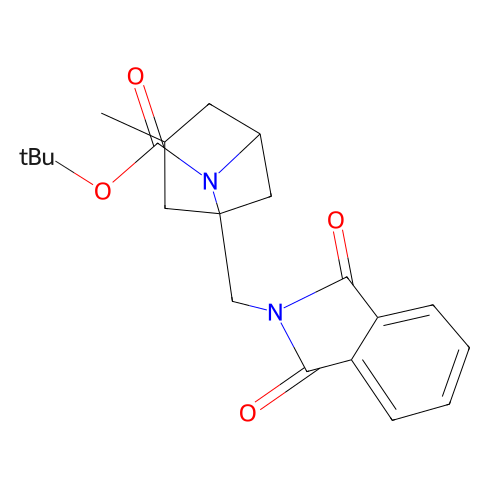 CC1CC2CC(CN3C(=O)c4ccccc4C3=O)(C1)N2C(=O)OC(C)(C)C